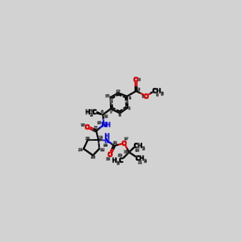 COC(=O)c1ccc([C@H](C)NC(=O)C2(NC(=O)OC(C)(C)C)CCCC2)cc1